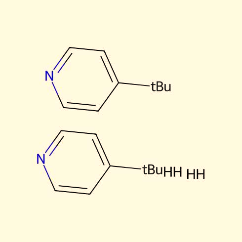 CC(C)(C)c1ccncc1.CC(C)(C)c1ccncc1.[HH].[HH]